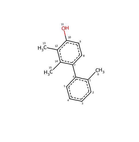 Cc1ccccc1-c1ccc(O)c(C)c1C